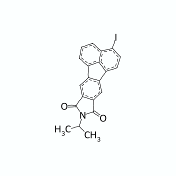 CC(C)N1C(=O)c2cc3c(cc2C1=O)-c1ccc(I)c2cccc-3c12